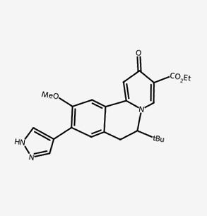 CCOC(=O)c1cn2c(cc1=O)-c1cc(OC)c(-c3cn[nH]c3)cc1CC2C(C)(C)C